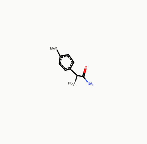 COc1ccc(C(C(N)=O)C(=O)O)cc1